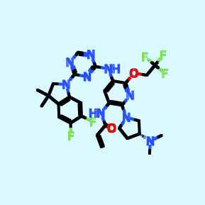 C=CC(=O)Nc1cc(Nc2ncnc(N3CC(C)(C)c4cc(F)c(F)cc43)n2)c(OCC(F)(F)F)nc1N1CC[C@@H](N(C)C)C1